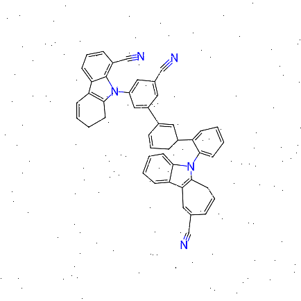 N#CC1=Cc2c(n(-c3ccccc3C3C=C(c4cc(C#N)cc(-n5c6c(c7cccc(C#N)c75)C=CCC6)c4)C=CC3)c3ccccc23)CC=C1